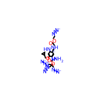 [N-]=[N+]=NCCOC(=O)CN/C=C1/C=C(N(N)C(=O)OC(CN=[N+]=[N-])(CN=[N+]=[N-])CN=[N+]=[N-])C(OCC2CC2)=CC1=N